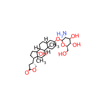 C[C@]12CC[C@H](O[C@@H]3O[C@H](CO)[C@@H](O)[C@H](O)[C@H]3N)C[C@H]1CC[C@@H]1[C@@H]2CC[C@]2(C)[C@@H]([C@@H]3COC(=O)C3)CC[C@]12O